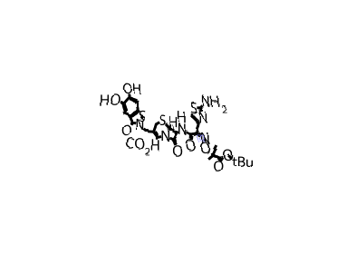 CC(C)(C)OC(=O)C(C)(C)O/N=C(\C(=O)NC1C(=O)N2C(C(=O)O)=C(Cn3sc4cc(O)c(O)cc4c3=O)CS[C@@H]12)c1csc(N)n1